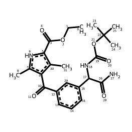 CCOC(=O)c1[nH]c(C)c(C(=O)c2cccc(C(NC(=O)OC(C)(C)C)C(N)=O)c2)c1C